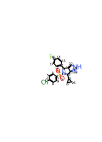 O=S(=O)(c1ccc(Cl)cc1)N1C(c2ccc(F)cc2)c2c[nH]nc2C1C1CC1